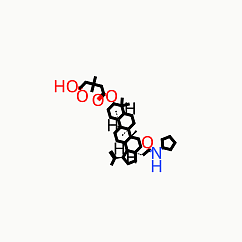 C=C(C)[C@@H]1CC[C@]2(CC(=O)NC3CCCC3)CC[C@]3(C)[C@H](CC[C@@H]4[C@@]5(C)CC[C@H](OC(=O)CC(C)(C)CC(=O)O)C(C)(C)[C@@H]5CC[C@]43C)[C@@H]12